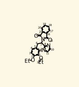 CCOc1ccc(CC(c2ncc[nH]2)N2C(=O)c3ccccc3C2=O)cc1OCC